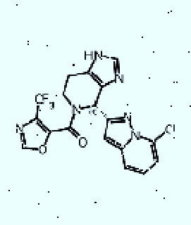 O=C(c1ocnc1C(F)(F)F)N1CCc2[nH]cnc2[C@@H]1c1cc2cccc(Cl)n2n1